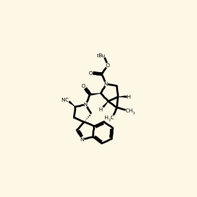 CC(C)(C)OC(=O)N1C[C@H]2[C@@H]([C@H]1C(=O)N1C[C@]3(C=Nc4ccccc43)C[C@H]1C#N)C2(C)C